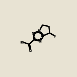 CCC(=O)c1nc2n(n1)CCC2F